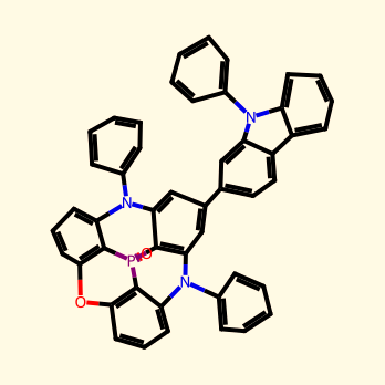 O=P12c3c4cccc3N(c3ccccc3)c3cc(-c5ccc6c7ccccc7n(-c7ccccc7)c6c5)cc(c31)N(c1ccccc1)c1cccc(c12)O4